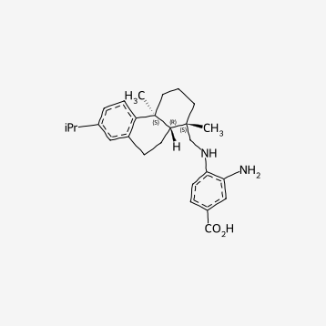 CC(C)c1ccc2c(c1)CC[C@H]1[C@@](C)(CNc3ccc(C(=O)O)cc3N)CCC[C@]21C